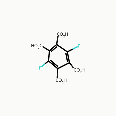 O=C(O)c1c(F)c(C(=O)O)c(C(=O)O)c(F)c1C(=O)O